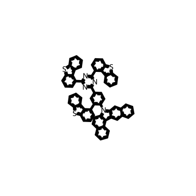 c1ccc2cc3c(cc2c1)c1c2ccccc2ccc1n3-c1ccc(-c2nc(-c3cccc4sc5ccccc5c34)nc(-c3cccc4sc5ccccc5c34)n2)cc1-c1cccc2sc3ccccc3c12